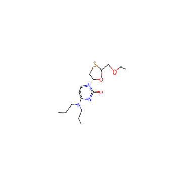 CCCN(CCC)c1ccn([C@@H]2CSC(COCC)O2)c(=O)n1